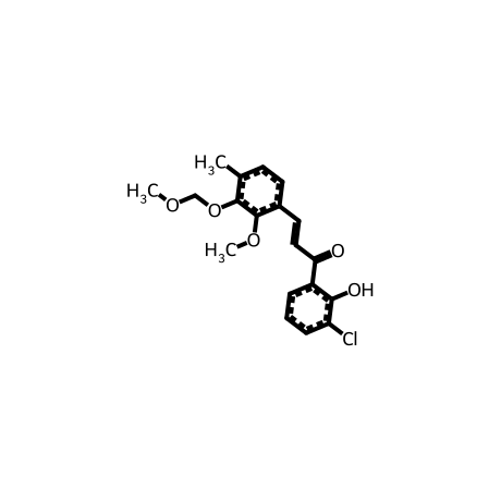 COCOc1c(C)ccc(C=CC(=O)c2cccc(Cl)c2O)c1OC